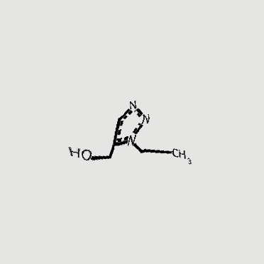 CCn1nncc1CO